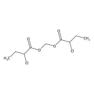 CCC(Cl)C(=O)OCOC(=O)C(Cl)CC